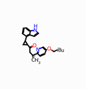 CCC(C)COc1ccc([C@@H](C)CC(=O)C2CC2c2cccc3[nH]ccc23)nc1